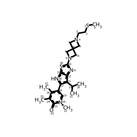 CSCCN1CC2(C1)CN(c1nc3c(C(C)C)c(-c4cn(C)c(=O)c(C)c4C)[nH]c3s1)C2